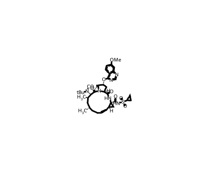 COc1ccc2c(O[C@@H]3C[C@H]4C(=O)N[C@]5(C(=O)NS(=O)(=O)C6CC6)C[C@H]5C=CCC[C@H](C)C[C@@H](C)[C@H](N(C(=O)O)C(C)(C)C)C(=O)N4C3)ncnc2c1